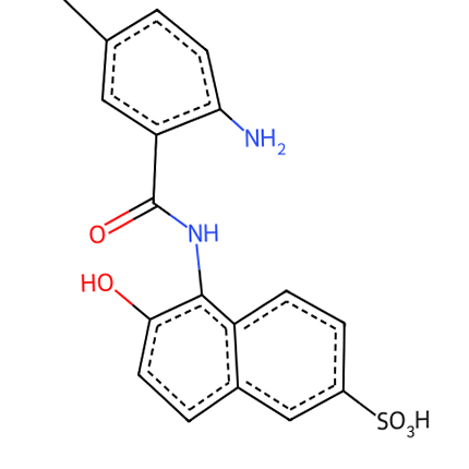 Cc1ccc(N)c(C(=O)Nc2c(O)ccc3cc(S(=O)(=O)O)ccc23)c1